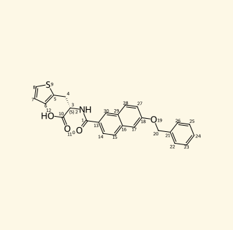 O=C(N[C@@H](Cc1cccs1)C(=O)O)c1ccc2cc(OCc3ccccc3)ccc2c1